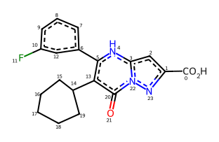 O=C(O)c1cc2[nH]c(-c3cccc(F)c3)c(C3CCCCC3)c(=O)n2n1